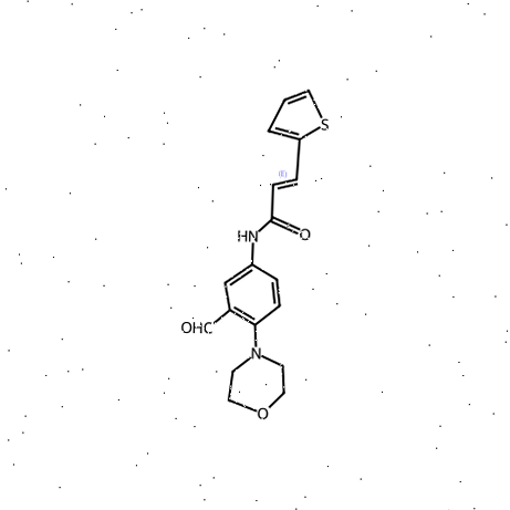 O=Cc1cc(NC(=O)/C=C/c2cccs2)ccc1N1CCOCC1